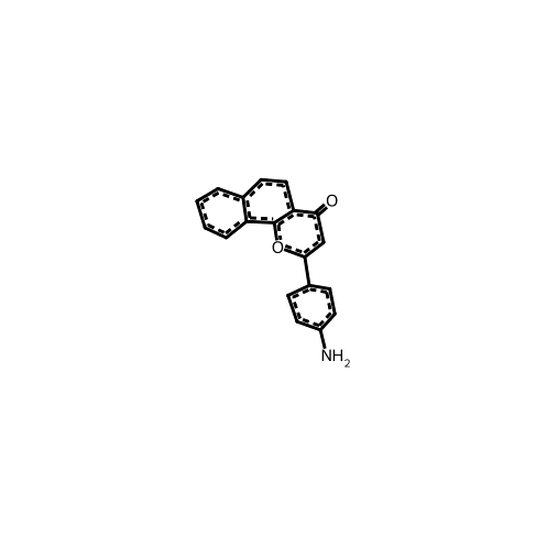 Nc1ccc(-c2cc(=O)c3ccc4ccccc4c3o2)cc1